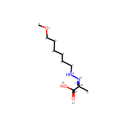 COCCCCCCN/N=C(/C)C(=O)O